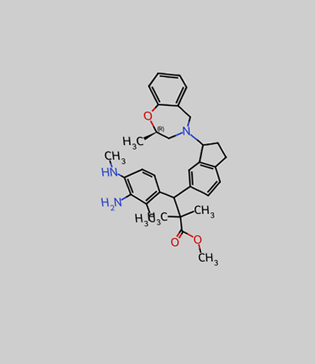 CNc1ccc(C(c2ccc3c(c2)C(N2Cc4ccccc4O[C@H](C)C2)CC3)C(C)(C)C(=O)OC)c(C)c1N